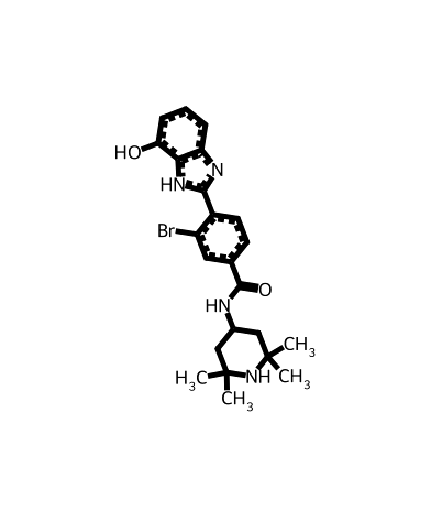 CC1(C)CC(NC(=O)c2ccc(-c3nc4cccc(O)c4[nH]3)c(Br)c2)CC(C)(C)N1